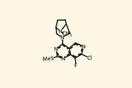 CSc1nc(N2CC3CCC(C2)N3C)c2cnc(Cl)c(F)c2n1